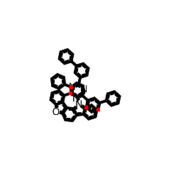 c1ccc(-c2cccc(-c3nc(-c4cccc(-c5ccccc5)c4)nc(-c4cccc5oc6ccc7c8ccccc8n(-c8cccc(-c9ccccc9)c8)c7c6c45)n3)c2)cc1